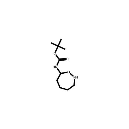 CC(C)(C)OC(=O)NC1CCCCNO1